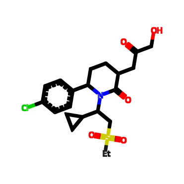 CCS(=O)(=O)CC(C1CC1)N1C(=O)C(CC(=O)CO)CCC1c1ccc(Cl)cc1